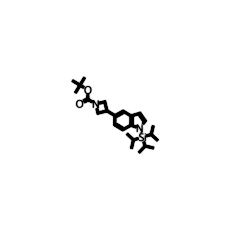 CC(C)[Si](C(C)C)(C(C)C)n1ccc2cc(C3CN(C(=O)OC(C)(C)C)C3)ccc21